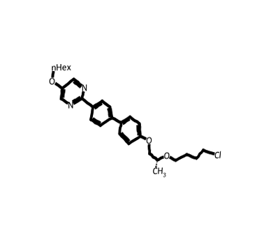 CCCCCCOc1cnc(-c2ccc(-c3ccc(OC[C@@H](C)OCCCCCl)cc3)cc2)nc1